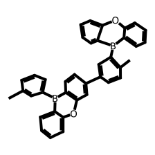 Cc1cccc(B2c3ccccc3Oc3cc(-c4ccc(C)c(B5c6ccccc6Oc6ccccc65)c4)ccc32)c1